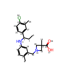 CCC(Nc1ccc(C)c(CN2CC(C)(C(=O)O)C2)c1)c1ccc(Cl)c(C)c1